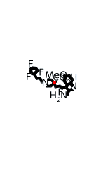 COc1ccc2ncc(CN)c([C@H](F)CCC3(CC(=O)O)CCN(CCCc4c(F)cc(F)cc4F)CC3)c2c1